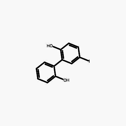 Oc1ccccc1-c1cc(I)ccc1O